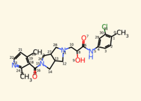 Cc1ccc(NC(=O)C(O)CN2CC3CN(C(=O)c4c(C)ccnc4C)CC3C2)cc1Cl